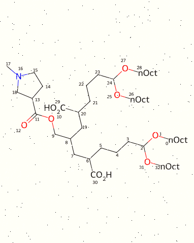 CCCCCCCCOC(CCCC(CC(COC(=O)C1CCN(C)C1)CC(CCCC(OCCCCCCCC)OCCCCCCCC)C(=O)O)C(=O)O)OCCCCCCCC